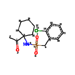 CC(=O)C1(NS(=O)(=O)Cc2ccccc2Cl)CCCCC1